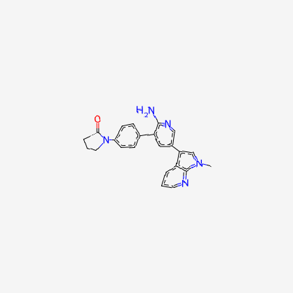 Cn1cc(-c2cnc(N)c(-c3ccc(N4CCCC4=O)cc3)c2)c2cccnc21